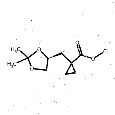 CC1(C)OC[C@H](CC2(C(=O)OCl)CC2)O1